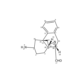 NC1CC[C@H]2[C@H]3Cc4ccccc4[C@@]2(CCN3C=O)C1